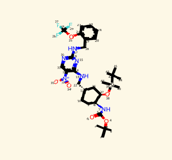 CC(C)(C)OC(=O)N[C@H]1CC[C@H](CNc2nc(NCc3ccccc3OC(F)(F)F)ncc2[N+](=O)[O-])C[C@H]1O[Si](C)(C)C(C)(C)C